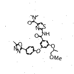 COCC(C)Oc1cc(Oc2ccc(-c3nnc(C)o3)cc2)cc(C(=O)Nc2nc(C(=O)N(C)C)cs2)c1